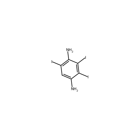 Nc1cc(I)c(N)c(I)c1I